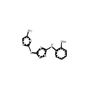 COc1ccccc1Nc1nnc(Sc2ncc([N+](=O)[O-])s2)s1